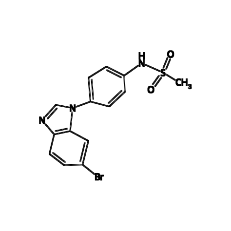 CS(=O)(=O)Nc1ccc(-n2cnc3ccc(Br)cc32)cc1